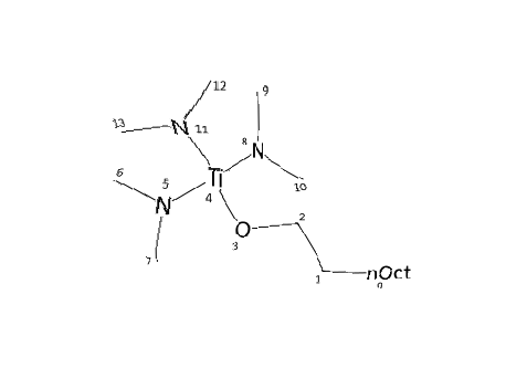 CCCCCCCCCC[O][Ti]([N](C)C)([N](C)C)[N](C)C